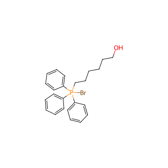 OCCCCCCP(Br)(c1ccccc1)(c1ccccc1)c1ccccc1